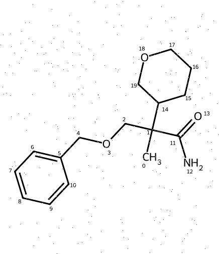 CC(COCc1ccccc1)(C(N)=O)C1CCCOC1